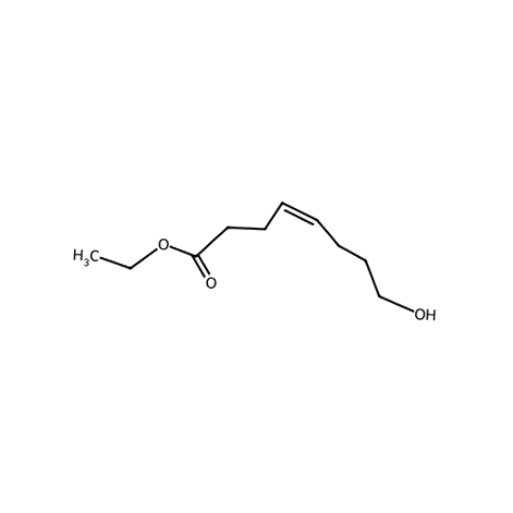 CCOC(=O)CC/C=C\CCCO